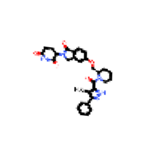 Cc1c(-c2ccccc2)n[nH]c1C(=O)N1CCCC[C@@H]1COc1ccc2c(c1)CN(C1CCC(=O)NC1=O)C2=O